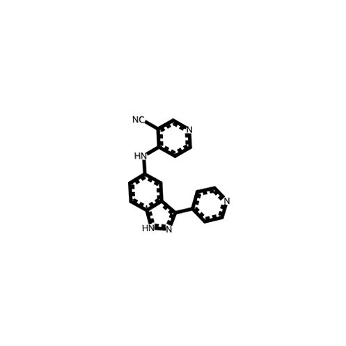 N#Cc1cnccc1Nc1ccc2[nH]nc(-c3ccncc3)c2c1